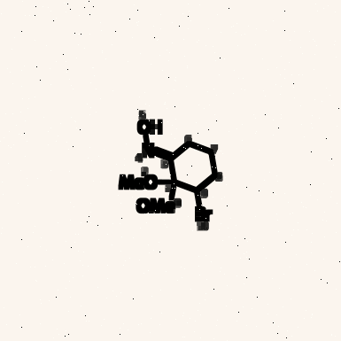 COC1(OC)/C(=N/O)CCCC1Br